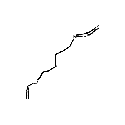 C=COCCCCN=C=S